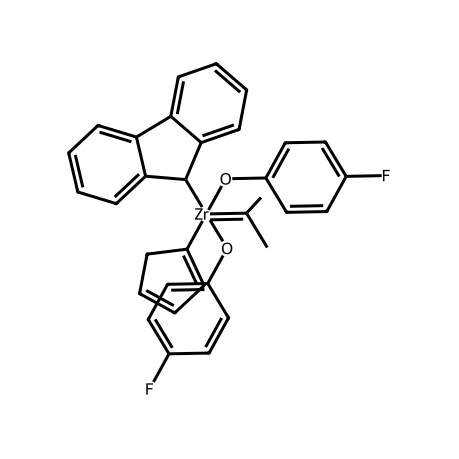 C[C](C)=[Zr]([O]c1ccc(F)cc1)([O]c1ccc(F)cc1)([C]1=CC=CC1)[CH]1c2ccccc2-c2ccccc21